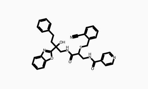 N#Cc1ccccc1CSC(CNC(=O)c1ccncc1)C(=O)NCC(O)(CCc1ccccc1)c1nc2ccccc2o1